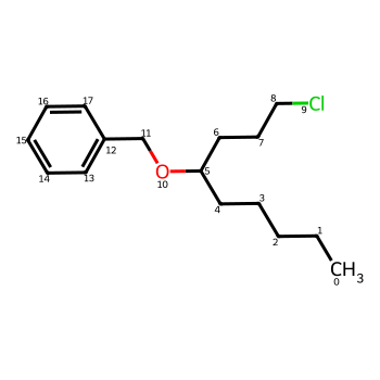 CCCCCC(CCCCl)OCc1ccccc1